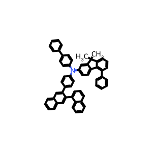 CC1(C)c2cc(N(c3ccc(-c4ccccc4)cc3)c3ccc(-c4cc5ccccc5cc4-c4cccc5ccccc45)cc3)ccc2-c2c(-c3ccccc3)cccc21